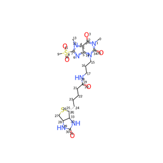 Cn1c(=O)c2c(nc(S(C)(=O)=O)n2C)n(CCCNC(=O)CCCC[C@H]2SCC3NC(=O)NC32)c1=O